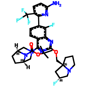 CC(C)(C)OC(=O)N1[C@@H]2CC[C@H]1CN(c1nc(OC[C@@]34CCCN3C[C@H](F)C4)nc3c(F)c(-c4nc(N)ccc4C(F)(F)F)ccc13)C2